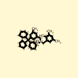 CCCN(Cc1cc(C)cc(C)c1O)Cc1cc(C)cc(C(c2ccccc2)(c2ccccc2)c2ccccc2)c1O